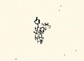 Cc1ccc(-c2nn(C(C)(C)CN(C)C(=O)C(F)(F)F)c3ncnc(N)c23)cc1